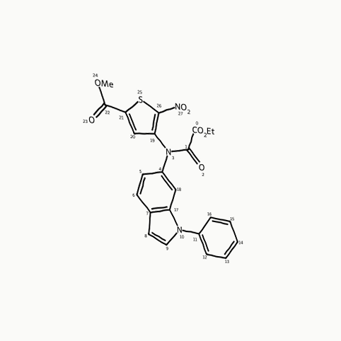 CCOC(=O)C(=O)N(c1ccc2ccn(-c3ccccc3)c2c1)c1cc(C(=O)OC)sc1[N+](=O)[O-]